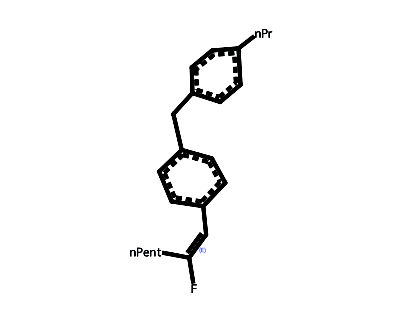 CCCCC/C(F)=C\c1ccc(Cc2ccc(CCC)cc2)cc1